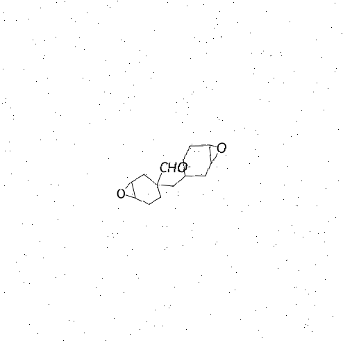 O=[C]C1(CC2CCC3OC3C2)CCC2OC2C1